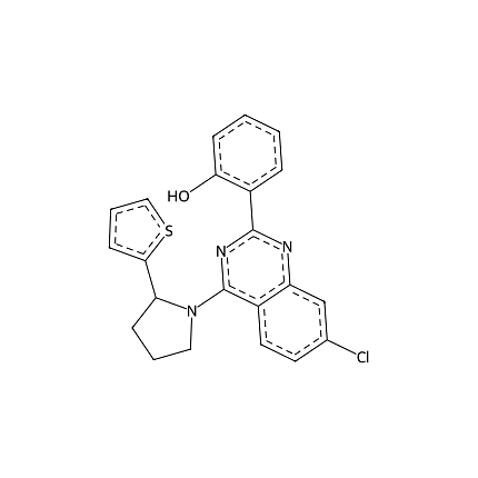 Oc1ccccc1-c1nc(N2CCCC2c2cccs2)c2ccc(Cl)cc2n1